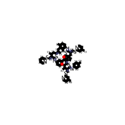 C=C1SC(=N\c2ccc(C)c(C/C(C)=C3\CC(C)C(=C\Sc4ccccn4)/C(=N/c4ccc(C)c(C/C(C)=C5\CC(C)C(=C\Sc6cc(C)ccn6)/C(=N/c6ccc(C)cc6)S5)c4)S3)c2C)/C(=C/Sc2cc(C)ccn2)CC1(CC)CC